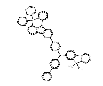 CC1(C)c2ccccc2-c2ccc(N(c3ccc(-c4ccccc4)cc3)c3ccc(-c4ccc5c(c4)c4cccc6c4n5-c4ccccc4C6(C4=CC=CCC4)c4ccccc4)cc3)cc21